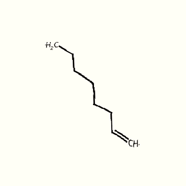 [CH]=CCCCCC[CH2]